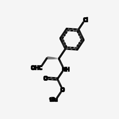 CC(C)(C)OC(=O)N[C@H](CC=O)c1ccc(Cl)cc1